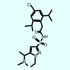 CCn1nc(S(=O)(=O)NC(=O)Cc2c(C(C)C)cc(Cl)cc2C(C)C)cc1C(C)N(C)C